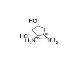 Cl.Cl.N[C@@H]1CCC[C@@H]1N